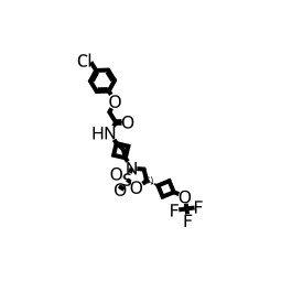 O=C(COc1ccc(Cl)cc1)NC12CC(N3C[C@H](C4CC(OC(F)(F)F)C4)OS3(=O)=O)(C1)C2